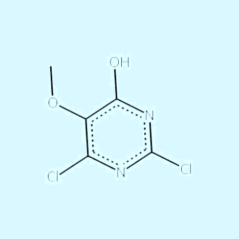 COc1c(O)nc(Cl)nc1Cl